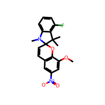 COc1cc([N+](=O)[O-])cc2c1OC1(C=C2)N(C)c2cccc(F)c2C1(C)C